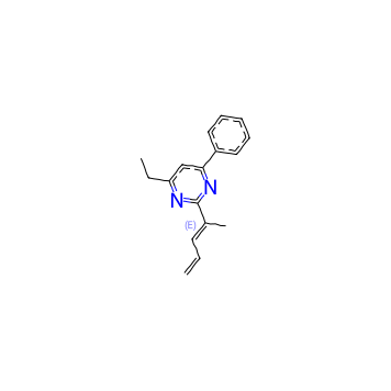 C=C/C=C(\C)c1nc(CC)cc(-c2ccccc2)n1